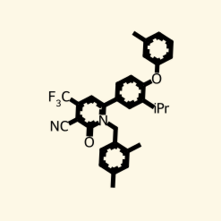 Cc1cccc(Oc2ccc(-c3cc(C(F)(F)F)c(C#N)c(=O)n3Cc3ccc(C)cc3C)cc2C(C)C)c1